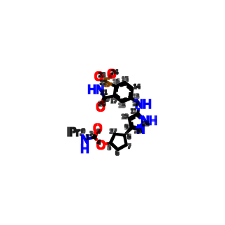 CC(C)NC(=O)O[C@@H]1CC[C@H](c2cc(Nc3ccc4c(c3)C(=O)NS4(=O)=O)[nH]n2)C1